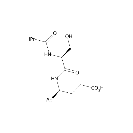 CC(=O)[C@H](CCC(=O)O)NC(=O)[C@H](CO)NC(=O)C(C)C